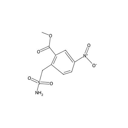 COC(=O)c1cc([N+](=O)[O-])ccc1CS(N)(=O)=O